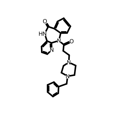 O=C1Nc2cccnc2N(C(=O)CCN2CCN(Cc3ccccc3)CC2)c2ccccc21